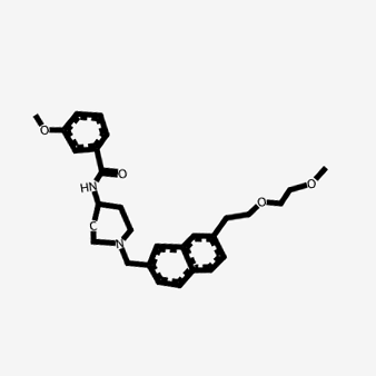 COCCOCCc1ccc2ccc(CN3CCC(NC(=O)c4cccc(OC)c4)CC3)cc2c1